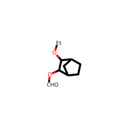 CCOC1C2CCC(C2)C1OC=O